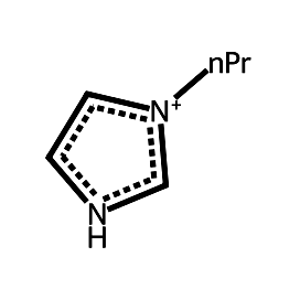 CCC[n+]1cc[nH]c1